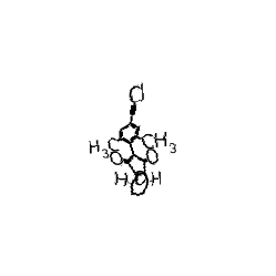 Cc1cc(C#CCl)cc(C)c1C1C(=O)C2C(C1=O)[C@H]1CC[C@@H]2O1